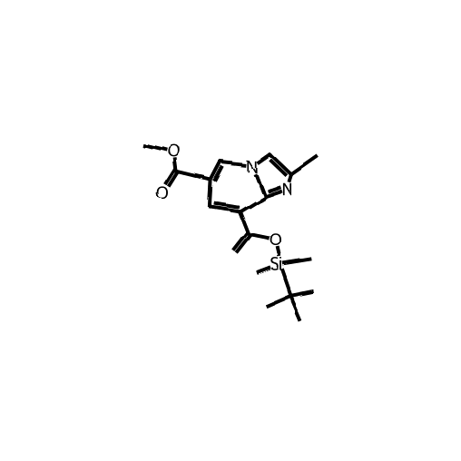 C=C(O[Si](C)(C)C(C)(C)C)c1cc(C(=O)OC)cn2cc(C)nc12